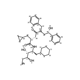 CC(C)C[C@H](O)[C@H](O)[C@H](CC1CCCCC1)NC(=O)[C@@H](CC(=O)N(Cc1ccccc1)C[C@H](O)c1ccccc1)CC1CC1